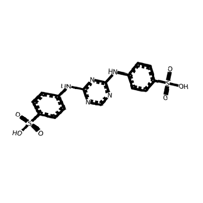 O=S(=O)(O)c1ccc(Nc2n[c]nc(Nc3ccc(S(=O)(=O)O)cc3)n2)cc1